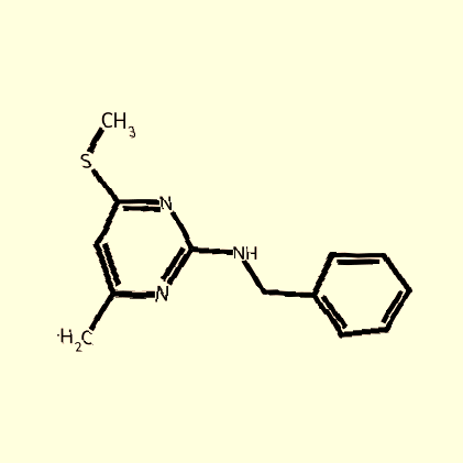 [CH2]c1cc(SC)nc(NCc2ccccc2)n1